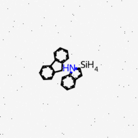 [SiH4].c1ccc2[nH]ccc2c1.c1ccc2c(c1)Cc1ccccc1-2